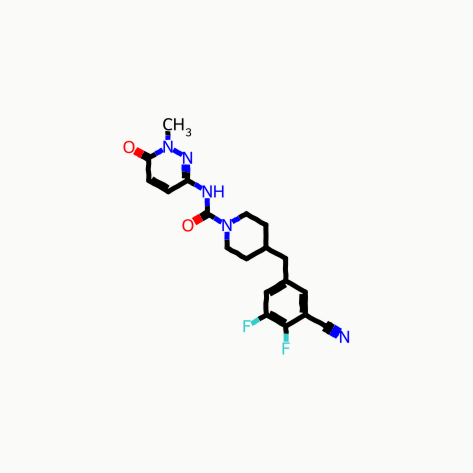 Cn1nc(NC(=O)N2CCC(Cc3cc(F)c(F)c(C#N)c3)CC2)ccc1=O